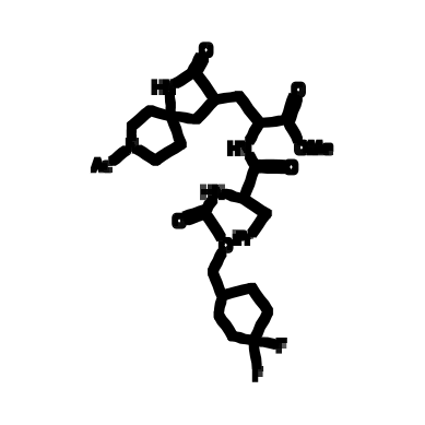 COC(=O)C(CC1CC2(CCN(C(C)=O)CC2)NC1=O)NC(=O)C(CC(C)C)NC(=O)OCC1CCC(F)(F)CC1